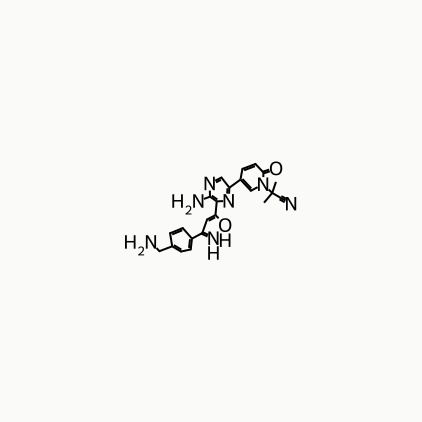 CC(C)(C#N)n1cc(-c2cnc(N)c(/C(O)=C/C(=N)c3ccc(CN)cc3)n2)ccc1=O